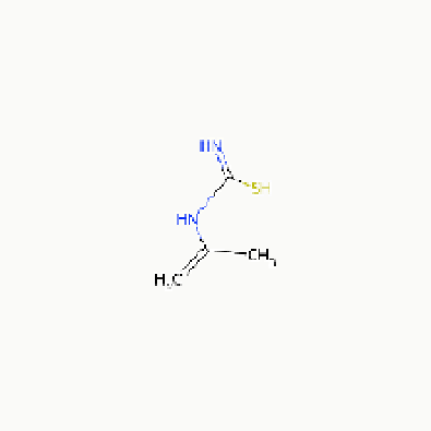 C=C(C)NC(=N)S